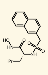 CC(C)C[C@@H](NS(=O)(=O)Cc1ccc2ccccc2c1)C(=O)NO